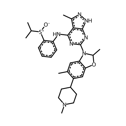 Cc1cc2c(cc1C1CCN(C)CC1)OC(C)N2c1nc(Nc2ccccc2[S+]([O-])C(C)C)c2c(C)n[nH]c2n1